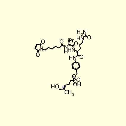 C/C(=C\CCP(=O)(O)OCc1ccc(NC(=O)[C@H](CCCNC(N)=O)NC(=O)[C@@H](NC(=O)CCCCCN2C(=O)C=CC2=O)C(C)C)cc1)CO